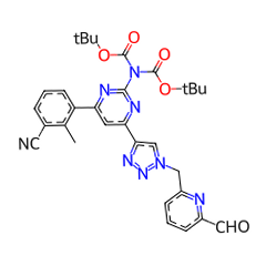 Cc1c(C#N)cccc1-c1cc(-c2cn(Cc3cccc(C=O)n3)nn2)nc(N(C(=O)OC(C)(C)C)C(=O)OC(C)(C)C)n1